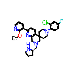 CCOc1ncccc1-c1ccc2c(n1)CN(C[C@H]1CCCN1)CC21CCN(c2ccc(F)cc2Cl)CC1